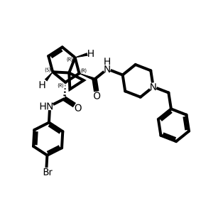 O=C(NC1CCN(Cc2ccccc2)CC1)[C@H]1[C@H](C(=O)Nc2ccc(Br)cc2)[C@@H]2C=C[C@H]1C21CC1